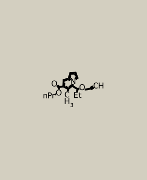 C#CCOC(CC)c1c(C)c(C(=O)OCCC)cc2cccn12